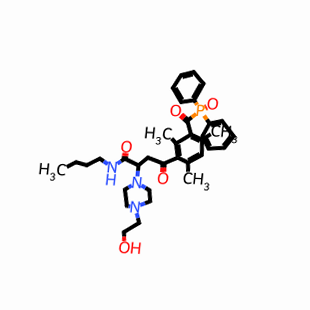 CCCCNC(=O)C(CC(=O)c1c(C)cc(C)c(C(=O)P(=O)(c2ccccc2)c2ccccc2)c1C)N1CCN(CCO)CC1